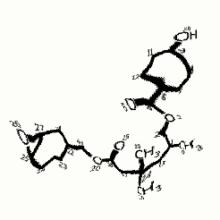 CC(COC(=O)C1CCC(O)CC1)CC(C)(C)CC(=O)OCC1CCC2OC2C1